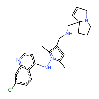 Cc1cc(CNCC23C=CCN2CCC3)c(C)n1Nc1ccnc2cc(Cl)ccc12